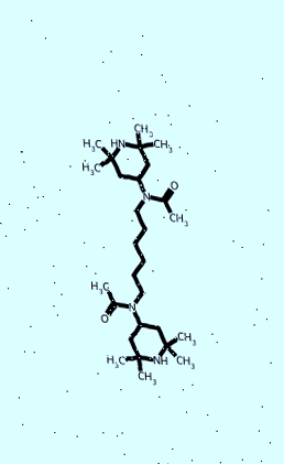 CC(=O)N([CH]CCCC[CH]N(C(C)=O)C1CC(C)(C)NC(C)(C)C1)C1CC(C)(C)NC(C)(C)C1